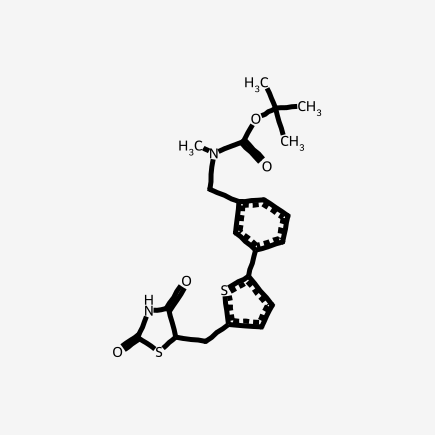 CN(Cc1cccc(-c2ccc(CC3SC(=O)NC3=O)s2)c1)C(=O)OC(C)(C)C